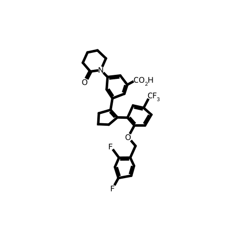 O=C(O)c1cc(C2=C(c3cc(C(F)(F)F)ccc3OCc3ccc(F)cc3F)CCC2)cc(N2CCCCC2=O)c1